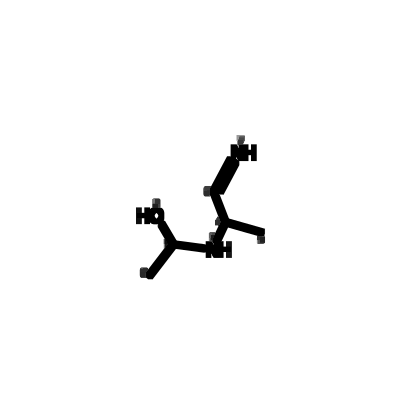 CC(O)NC(C)C=N